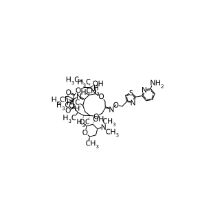 CCC(=O)/N=C1\[C@H](C)C[C@@]2(C)OC/C(=N/OCc3csc(-c4cccc(N)n4)n3)CO[C@H]([C@H]1C)[C@](C)(O)[C@@H](CC)OC(=O)[C@@](C)(F)C(=O)[C@H](C)[C@H]2O[C@@H]1O[C@H](C)C[C@H](N(C)C)[C@H]1O